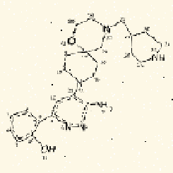 Nc1nnc(-c2ccccc2O)cc1N1CCC2(CC1)CN(CC1CCNCC1)CCO2